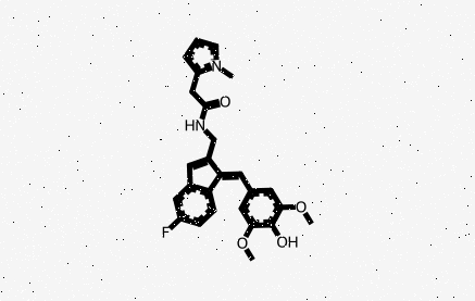 COc1cc(/C=C2/C(CNC(=O)Cc3cccn3C)=Cc3cc(F)ccc32)cc(OC)c1O